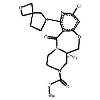 CC(C)(C)OC(=O)N1CCN2C(=O)c3c(cc(Cl)nc3N3CCC4(COC4)C3)OC[C@H]2C1